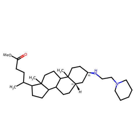 COC(=O)CCC(C)C1CCC2C3CC[C@H]4C[C@H](NCCN5CCCCC5)CCC4(C)C3CCC12C